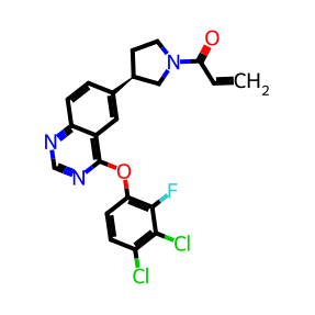 C=CC(=O)N1CC[C@H](c2ccc3ncnc(Oc4ccc(Cl)c(Cl)c4F)c3c2)C1